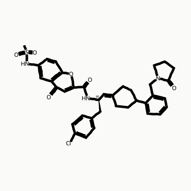 CS(=O)(=O)Nc1ccc2oc(C(=O)N[C@@H](C=C3CCC(c4ccccc4CN4CCCC4=O)CC3)Cc3ccc(Cl)cc3)cc(=O)c2c1